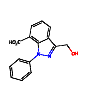 O=C(O)c1cccc2c(CO)nn(-c3ccccc3)c12